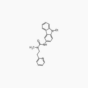 CCn1c2ccccc2c2cc(NC(=O)N(C)CCc3ccccn3)ccc21